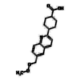 COOCc1ccc2nc(C3CCC(C(=O)O)CC3)ccc2c1